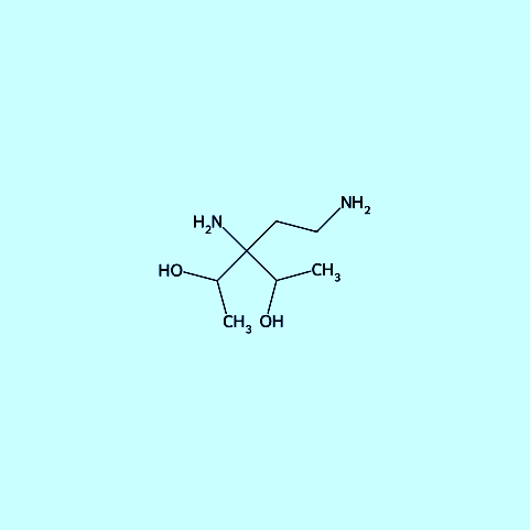 CC(O)C(N)(CCN)C(C)O